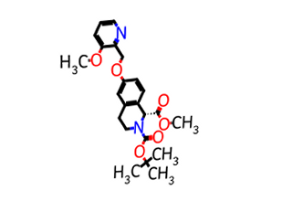 COC(=O)[C@H]1c2ccc(OCc3ncccc3OC)cc2CCN1C(=O)OC(C)(C)C